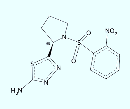 Nc1nnc([C@H]2CCCN2S(=O)(=O)c2ccccc2[N+](=O)[O-])s1